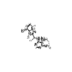 C[C@H](Nc1ncnc(N)c1N)c1nc2cccc(Br)c2n1C